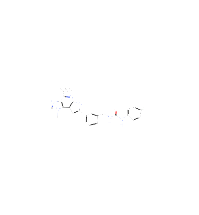 CNc1nc2[nH]c(-c3cccc(CNC(=O)Nc4ccc(Cl)cc4)c3)cc2c2c1ncn2C